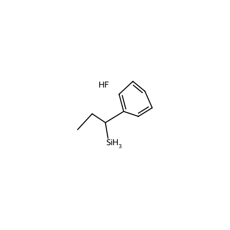 CCC([SiH3])c1ccccc1.F